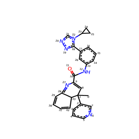 CC1(c2cccnc2)C=C(C(=O)Nc2cccc(-c3nncn3C3CC3)c2)N=C2C=CC=CC21